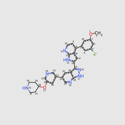 COc1cc(F)cc(-c2ccnc3[nH]c(-c4n[nH]c5ncc(-c6cncc(OC7CCNCC7)c6)cc45)cc23)c1